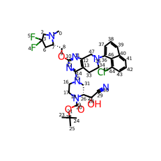 CN1CC(F)(F)C[C@H]1COc1nc2c(c(N3CCN(C(=O)OC(C)(C)C)[C@@H]([C@@H](O)C#N)C3)n1)CCN(c1cccc3cccc(Cl)c13)C2